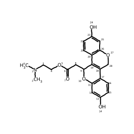 CN(C)CCOC(=O)CC1Oc2cc(O)ccc2C2=C1c1ccc(O)cc1OC2